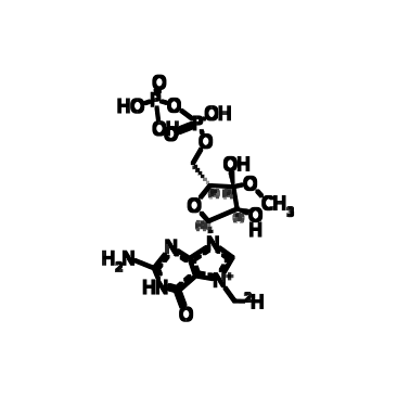 [2H]C[n+]1cn([C@@H]2O[C@H](COP(=O)(O)OP(=O)(O)O)[C@](O)(OC)[C@H]2O)c2nc(N)[nH]c(=O)c21